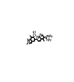 CCCN(CC(C)C)c1cnc2nc(-c3cc4cn(C)nc4c(C)c3O)ccc2c1C